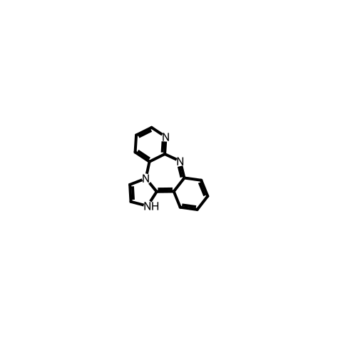 C1=CN2C(=c3ccccc3=Nc3ncccc32)N1